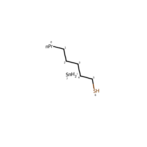 CCCCCCCCS.[SnH2]